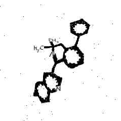 CC1(C)Cc2c(cccc2-c2ccccc2)C(c2cnc3ccccc3c2)=N1